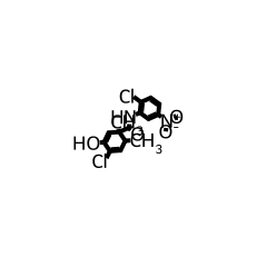 CC1C=C(Cl)C(O)=CC1(C)C(=O)Nc1cc([N+](=O)[O-])ccc1Cl